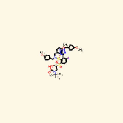 COc1ccc(CN(Cc2ccc(OC)cc2)S(=O)(=O)c2c(S(=O)(=O)[C@H](CO)CN(C(=O)O)C(C)(C)C)ccc(I)c2-c2nnn(Cc3ccc(OC)cc3)n2)cc1